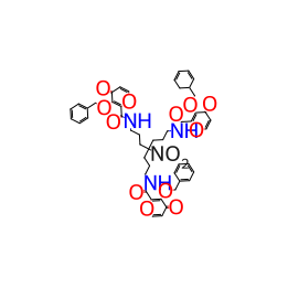 O=C(NCCCC(CCCNC(=O)c1occc(=O)c1OCc1ccccc1)(CCCNC(=O)c1occc(=O)c1OCC1C=CC=CC1)[N+](=O)[O-])c1occc(=O)c1OCc1ccccc1